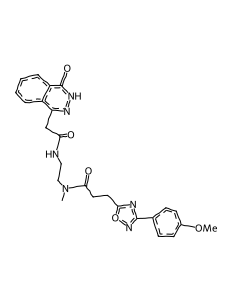 COc1ccc(-c2noc(CCC(=O)N(C)CCNC(=O)Cc3n[nH]c(=O)c4ccccc34)n2)cc1